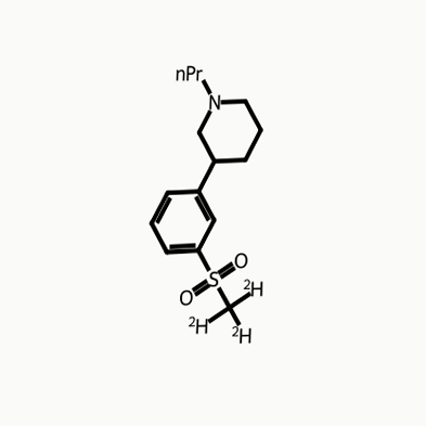 [2H]C([2H])([2H])S(=O)(=O)c1cccc(C2CCCN(CCC)C2)c1